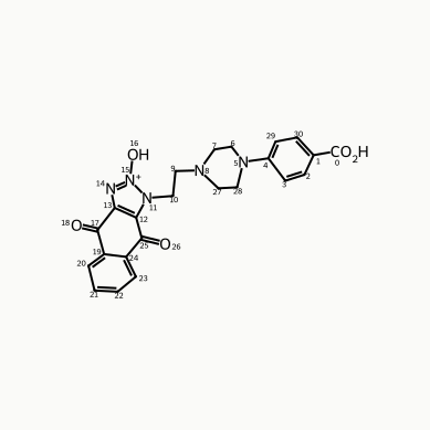 O=C(O)c1ccc(N2CCN(CCn3c4c(n[n+]3O)C(=O)c3ccccc3C4=O)CC2)cc1